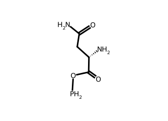 NC(=O)C[C@H](N)C(=O)OP